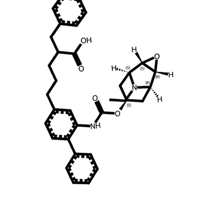 CCN1[C@@H]2C[C@@H](OC(=O)Nc3cc(CCCC(Cc4ccccc4)C(=O)O)ccc3-c3ccccc3)C[C@H]1[C@@H]1O[C@@H]12